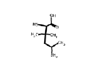 BC(C)CC(C)(C)C(S)C(=O)O